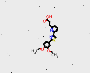 CCOc1ccc(-c2nc(-c3cccc(CCC(=O)O)n3)cs2)cc1OCC